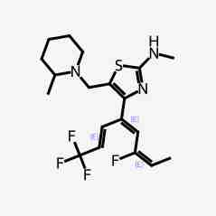 C\C=C(F)/C=C(\C=C\C(F)(F)F)c1nc(NC)sc1CN1CCCCC1C